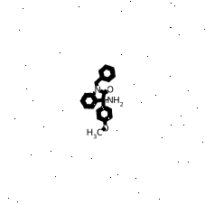 COc1ccc([C@]2(N)C(=O)N(Cc3ccccc3)c3ccccc32)cc1